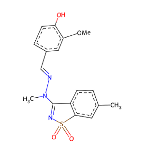 COc1cc(C=NN(C)C2=NS(=O)(=O)c3cc(C)ccc32)ccc1O